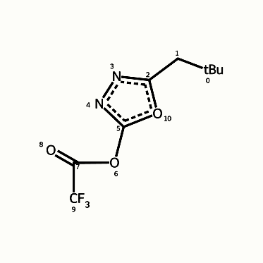 CC(C)(C)Cc1nnc(OC(=O)C(F)(F)F)o1